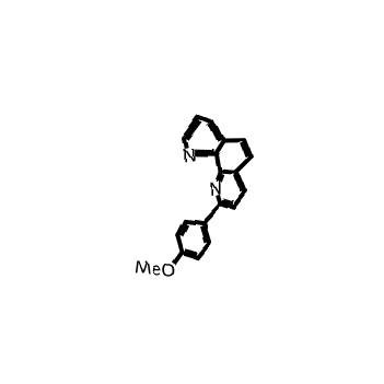 COc1ccc(-c2ccc3ccc4cccnc4c3n2)cc1